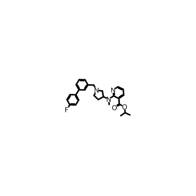 CC(C)OC(=O)c1cccnc1N(C)C1CCN(Cc2cccc(-c3ccc(F)cc3)c2)C1